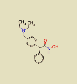 CCN(CC)Cc1ccc(C(C(=O)NO)c2ccccc2)cc1